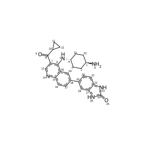 N[C@H]1CC[C@H](Nc2c(C(=O)C3CC3)cnc3ccc(-c4ccc5[nH]c(=O)[nH]c5c4)cc23)CC1